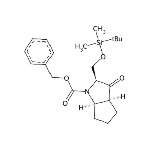 CC(C)(C)[Si](C)(C)OC[C@H]1C(=O)[C@H]2CCC[C@H]2N1C(=O)OCc1ccccc1